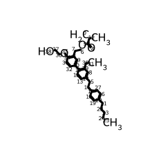 C=C(C)C(=O)OCCc1cc(-c2ccc(CCc3ccc(CCCCC)cc3)cc2CC)ccc1OCCO